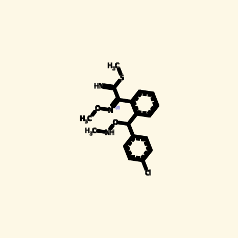 CNOC(c1ccc(Cl)cc1)c1ccccc1/C(=N/OC)C(=N)SC